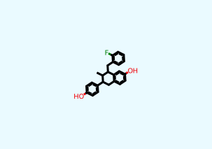 CC1C(c2ccc(O)cc2)Cc2ccc(O)cc2C1Cc1ccccc1F